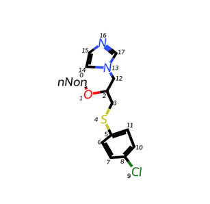 CCCCCCCCCOC(CSc1ccc(Cl)cc1)Cn1ccnc1